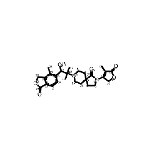 CC1=C(N2CCC3(CCN(C(C)(C)C(O)c4ccc5c(c4C)COC5=O)CC3)C2=O)COC1=O